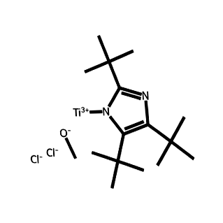 CC(C)(C)c1nc(C(C)(C)C)[n]([Ti+3])c1C(C)(C)C.C[O-].[Cl-].[Cl-]